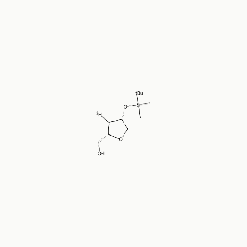 [2H]C1[C@@H](CO)OC[C@H]1O[Si](C)(C)C(C)(C)C